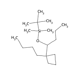 CCCCC1(C(CCC)O[Si](C)(C)C(C)(C)C)CCC1